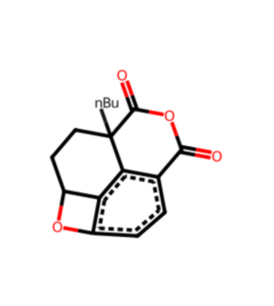 CCCCC12CCC3Oc4ccc(c1c43)C(=O)OC2=O